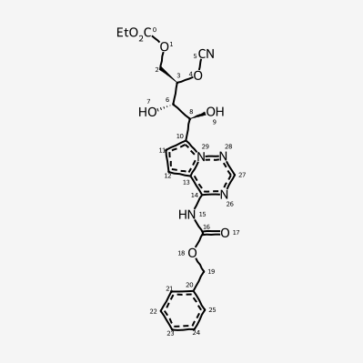 CCOC(=O)OC[C@@H](OC#N)[C@@H](O)[C@@H](O)c1ccc2c(NC(=O)OCc3ccccc3)ncnn12